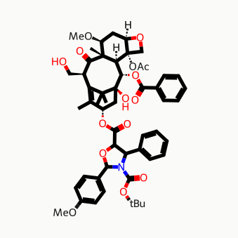 COc1ccc(C2OC(C(=O)O[C@H]3C[C@@]4(O)[C@@H](OC(=O)c5ccccc5)[C@@H]5[C@]6(OC(C)=O)CO[C@@H]6C[C@H](OC)[C@@]5(C)C(=O)[C@H](CO)C(=C3C)C4(C)C)C(c3ccccc3)N2C(=O)OC(C)(C)C)cc1